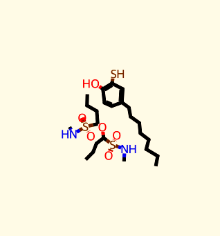 CCCC(OC(CCC)S(=O)(=O)NC)S(=O)(=O)NC.CCCCCCCCc1ccc(O)c(S)c1